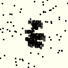 CC(=O)[C@H](CCC(O)CCC(=O)OC(C)(C)C)N(C(=O)OC(C)(C)C)C(=O)OC(C)(C)C